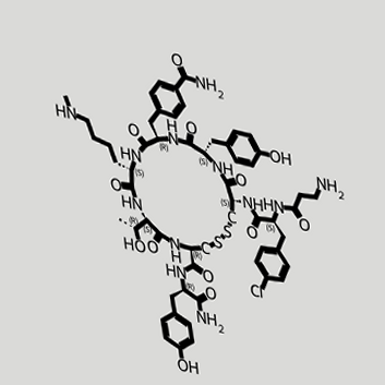 CNCCCC[C@@H]1NC(=O)[C@@H](Cc2ccc(C(N)=O)cc2)NC(=O)[C@H](Cc2ccc(O)cc2)NC(=O)[C@H](NC(=O)[C@H](Cc2ccc(Cl)cc2)NC(=O)CCN)CSSC[C@@H](C(=O)N[C@H](Cc2ccc(O)cc2)C(N)=O)NC(=O)[C@H]([C@@H](C)O)NC1=O